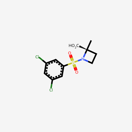 C[C@]1(C(=O)O)CCN1S(=O)(=O)c1cc(Cl)cc(Cl)c1